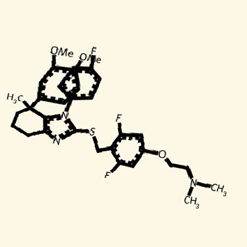 COc1ccc(C2(C)CCCc3nc(SCc4c(F)cc(OCCN(C)C)cc4F)n(-c4ccc(F)cc4)c32)cc1OC